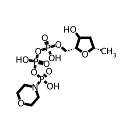 C[C@H]1CC(O)[C@@H](COP(=O)(O)OP(=O)(O)OP(=O)(O)N2CCOCC2)O1